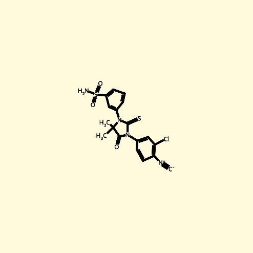 [C-]#[N+]c1ccc(N2C(=O)C(C)(C)N(c3cccc(S(N)(=O)=O)c3)C2=S)cc1Cl